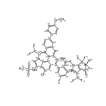 COc1ccc(-c2ccc3c(=O)n(-c4ccc(Cl)c5c(NS(C)(=O)=O)nn(CC(F)F)c45)c([C@H](Cc4cc(F)cc(F)c4)NC(=O)Cn4nc(C(F)F)c5c4C(F)(F)[C@@H]4C[C@H]54)nc3c2)nn1